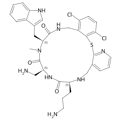 CN1C(=O)[C@H](CN)NC(=O)[C@H](CCCN)NCc2cccnc2Sc2c(Cl)ccc(Cl)c2CNC(=O)[C@@H]1Cc1c[nH]c2ccccc12